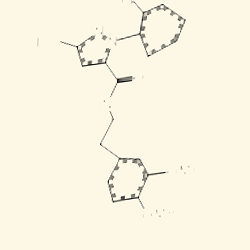 COc1ccc(CCNC(=O)c2cc(C(F)(F)F)nn2-c2ccccc2Cl)cc1OC